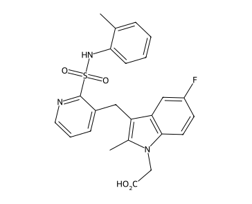 Cc1ccccc1NS(=O)(=O)c1ncccc1Cc1c(C)n(CC(=O)O)c2ccc(F)cc12